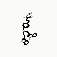 O=C(/C=C/c1ccc(CN(CCc2c[nH]c3ccccc23)Cc2c[nH]c3ccccc23)cc1)NO